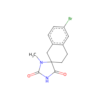 CN1C(=O)NC(=O)C12CCc1cc(Br)ccc1C2